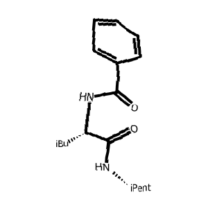 [CH2]CC[C@@H]([CH2])NC(=O)[C@@H](NC(=O)c1ccccc1)C(C)CC